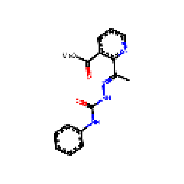 COC(=O)c1cccnc1C(C)=NNC(=O)Nc1ccccc1